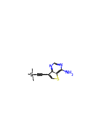 C[Si](C)(C)C#Cc1csc2c(N)ncnc12